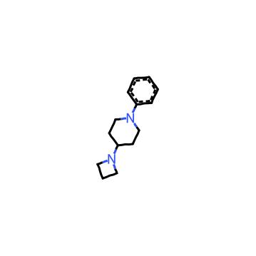 c1ccc(N2CCC(N3CCC3)CC2)cc1